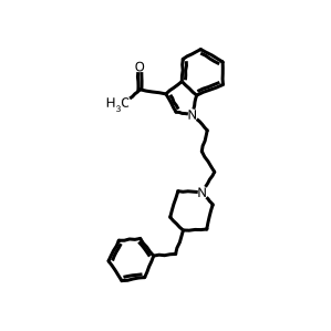 CC(=O)c1cn(CCCN2CCC(Cc3ccccc3)CC2)c2ccccc12